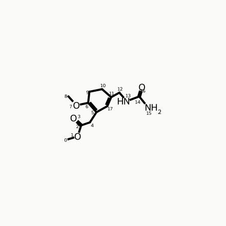 COC(=O)CC1=C(OC)CCC(CNC(N)=O)=C1